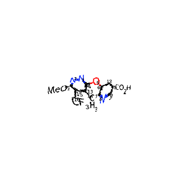 COc1nnc(Oc2cncc(C(=O)O)c2)c(C)c1C(F)(F)F